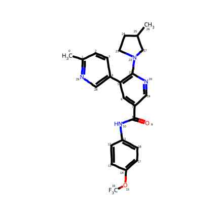 Cc1ccc(-c2cc(C(=O)Nc3ccc(OC(F)(F)F)cc3)cnc2N2CCC(C)C2)cn1